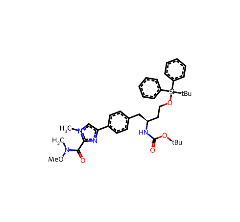 CON(C)C(=O)c1nc(-c2ccc(C[C@@H](CCO[Si](c3ccccc3)(c3ccccc3)C(C)(C)C)NC(=O)OC(C)(C)C)cc2)cn1C